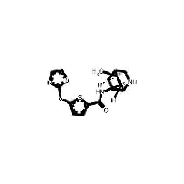 C[C@H]1C2CCC(NC2)[C@@H]1NC(=O)c1ccc(Oc2ncco2)s1